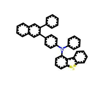 c1ccc(-c2cc3ccccc3cc2-c2ccc(N(c3ccccc3)c3cccc4sc5ccccc5c34)cc2)cc1